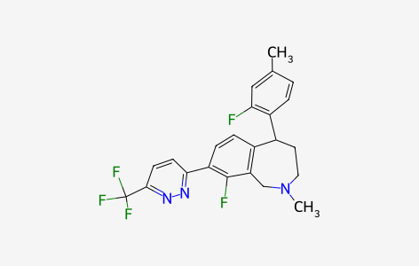 Cc1ccc(C2CCN(C)Cc3c2ccc(-c2ccc(C(F)(F)F)nn2)c3F)c(F)c1